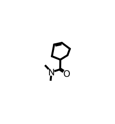 CN(C)C(=O)C1CC=CCC1